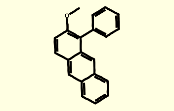 COc1ccc2cc3ccccc3cc2c1-c1ccccc1